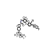 Cc1cc(Oc2c(F)ccc(NSN3CCC(F)C3)c2C#N)ccc1/N=C\N(C=O)C1COC2(CCN(C(=O)OC(C)(C)C)CC2)C1